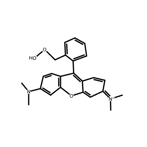 CN(C)c1ccc2c(-c3ccccc3COO)c3ccc(=[N+](C)C)cc-3oc2c1